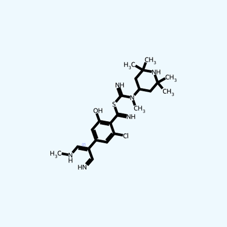 CN/C=C(\C=N)c1cc(O)c(C(=N)SC(=N)N(C)C2CC(C)(C)NC(C)(C)C2)c(Cl)c1